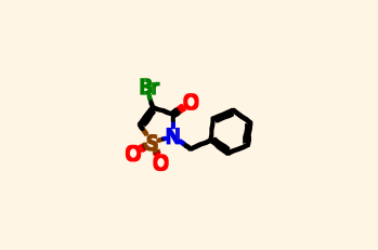 O=C1C(Br)=CS(=O)(=O)N1Cc1ccccc1